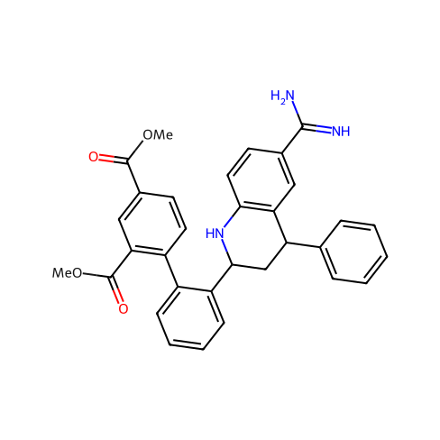 COC(=O)c1ccc(-c2ccccc2C2CC(c3ccccc3)c3cc(C(=N)N)ccc3N2)c(C(=O)OC)c1